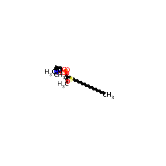 CCCCCCCCCCCCCCCCCCSCC(COC)COP(=O)(O)OC1CC2CCC23C(C1)[N+]3(C)C